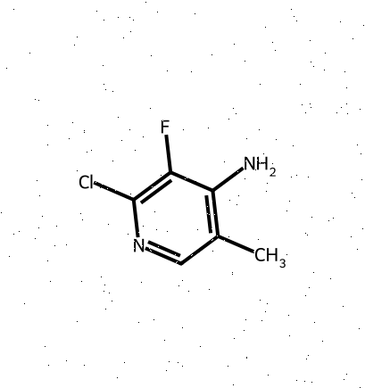 Cc1cnc(Cl)c(F)c1N